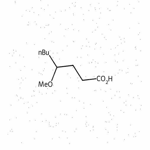 CCCCC(CCC(=O)O)OC